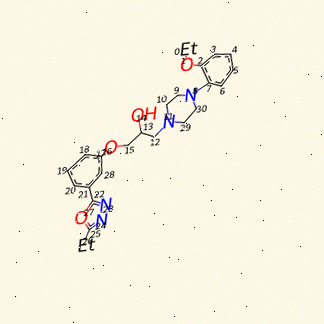 CCOc1ccccc1N1CCN(CC(O)COc2cccc(-c3nnc(CC)o3)c2)CC1